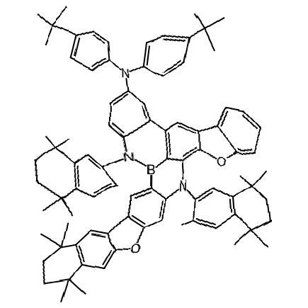 Cc1cc2c(cc1N1c3cc4oc5cc6c(cc5c4cc3B3c4c(cc5c(oc7ccccc75)c41)-c1cc(N(c4ccc(C(C)(C)C)cc4)c4ccc(C(C)(C)C)cc4)ccc1N3c1ccc3c(c1)C(C)(C)CCC3(C)C)C(C)(C)CCC6(C)C)C(C)(C)CCC2(C)C